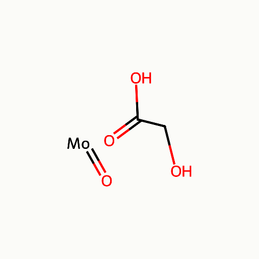 O=C(O)CO.[O]=[Mo]